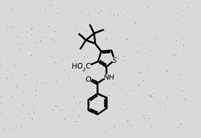 CC1(C)C(c2csc(NC(=O)c3ccccc3)c2C(=O)O)C1(C)C